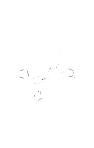 CCCC1CC(=O)N(Cn2ccnc2)C1.O=C1CC(c2ccccc2)CN1Cn1ccnc1